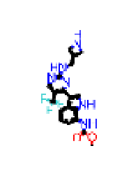 COC(=O)Nc1cccc2c(-c3nc(NCC4CNC4)ncc3C(F)(F)F)c[nH]c12